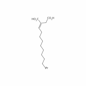 CC(C)CCCCCCCCC=C(CC(=O)O)C(=O)O